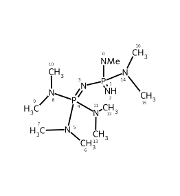 CNP(=N)(N=P(N(C)C)(N(C)C)N(C)C)N(C)C